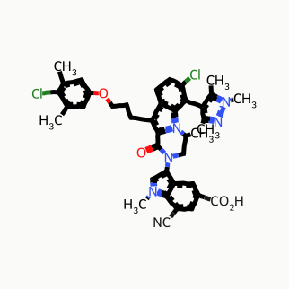 Cc1cc(OCCCc2c3n(c4c(-c5c(C)nn(C)c5C)c(Cl)ccc24)C(C)CN(c2cn(C)c4c(C#N)cc(C(=O)O)cc24)C3=O)cc(C)c1Cl